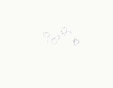 Oc1cnc(Cl)cc1-c1cccc2cc(-c3nc(NCCn4ccnn4)ncc3F)sc12